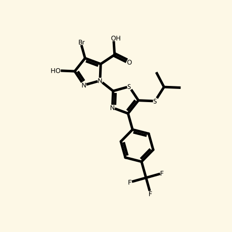 CC(C)Sc1sc(-n2nc(O)c(Br)c2C(=O)O)nc1-c1ccc(C(F)(F)F)cc1